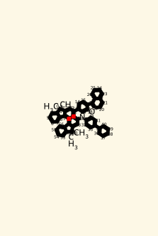 CC1(C)c2ccccc2-c2ccc(-c3ccc4c(oc5ccc6ccccc6c54)c3N(c3ccc(-c4ccccc4)cc3)c3ccc4c(c3)C(C)(C)c3ccccc3-4)cc21